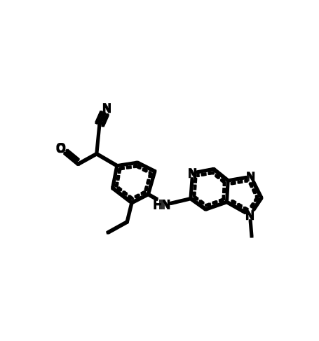 CCc1cc(C(C#N)C=O)ccc1Nc1cc2c(cn1)ncn2C